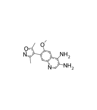 COc1cc2c(N)c(N)cnc2cc1-c1c(C)noc1C